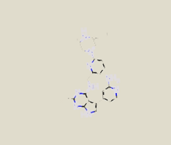 Cc1nc(NCc2cccc(N3C[C@@H](C)N[C@@H](C)C3)n2)c2c(-c3ccnc(N)c3)c[nH]c2n1